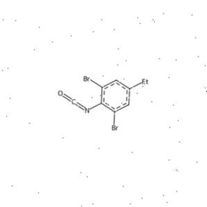 CCc1cc(Br)c(N=C=O)c(Br)c1